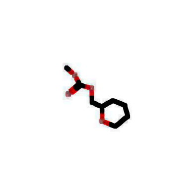 COC(=O)OCC1CCCCO1